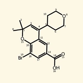 CC1(C)C=C(C2CCOCC2)c2cc(C(=O)O)cc(Br)c2O1